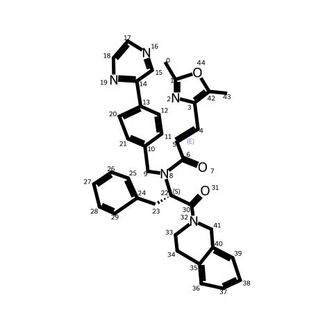 Cc1nc(/C=C/C(=O)N(Cc2ccc(-c3cnccn3)cc2)[C@@H](Cc2ccccc2)C(=O)N2CCc3ccccc3C2)c(C)o1